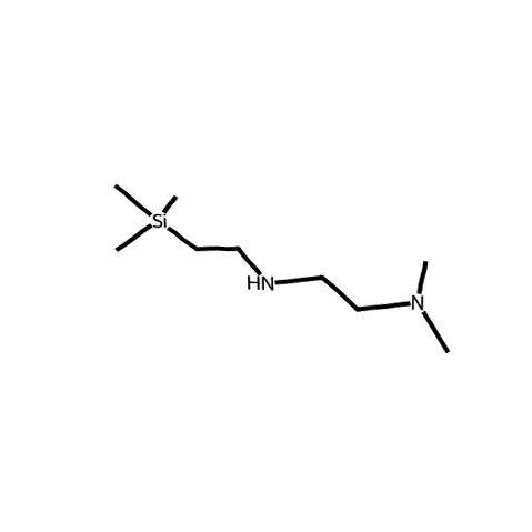 CN(C)CCNCC[Si](C)(C)C